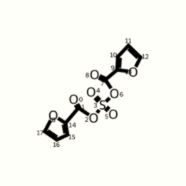 O=C(OS(=O)(=O)OC(=O)c1ccco1)c1ccco1